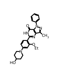 CCOc1cc(N2CCC(O)CC2)ccc1-c1nc2c(C)nn(-c3ccccc3)c2c(=O)[nH]1